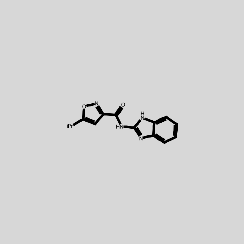 CC(C)c1cc(C(=O)Nc2nc3ccccc3[nH]2)no1